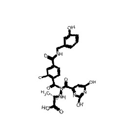 C[C@H](NN(C(=O)c1cc(O)nc(O)n1)C(=O)c1ccc(C(=O)NCc2cccc(O)c2)cc1Cl)C(=O)O